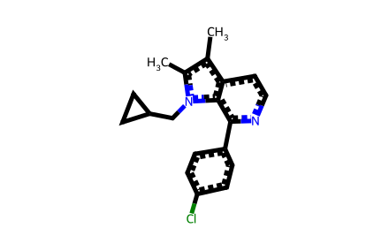 Cc1c(C)n(CC2CC2)c2c(-c3ccc(Cl)cc3)nccc12